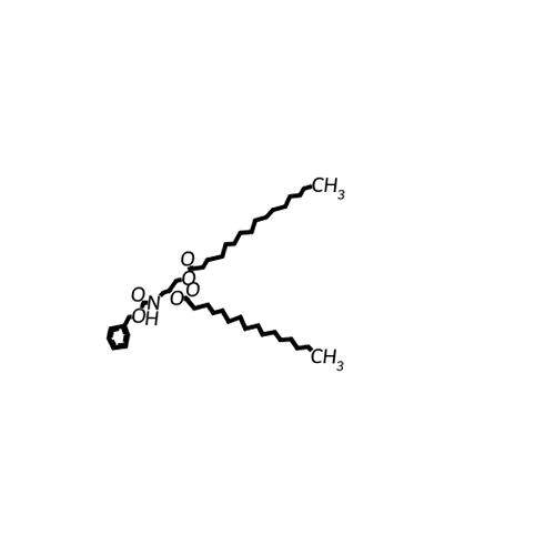 CCCCCCCCCCCCCCCC(=O)OCC(CNC(=O)OCc1ccccc1)OC(=O)CCCCCCCCCCCCCCC